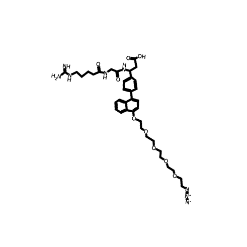 [N-]=[N+]=NCCOCCOCCOCCOCCOc1ccc(-c2ccc(C(CC(=O)O)NC(=O)CNC(=O)CCCCNC(=N)N)cc2)c2ccccc12